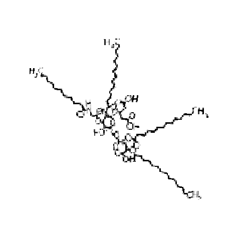 CCCCCCCCCCCCCC(=O)N[C@H]1[C@@H](OC(CC(=O)O)CC(=O)O)O[C@H](COC(=O)[C@H](OC(=O)CCCCCCCCCCCCC)[C@@H](OC(=O)CCCCCCCCCCCCC)C(=O)O)[C@@H](O)[C@@H]1OC(=O)CNC(=O)CCCCCCCCCCC